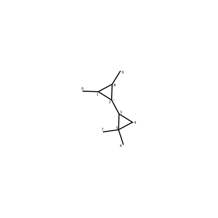 CC1[C](C2CC2(C)C)C1C